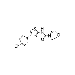 O=C(Nc1nc(-c2ccc(Cl)cc2)cs1)N1CCOCS1